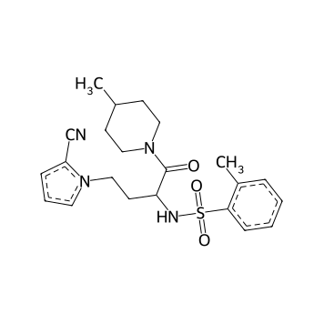 Cc1ccccc1S(=O)(=O)NC(CCn1cccc1C#N)C(=O)N1CCC(C)CC1